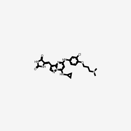 CN(C)CCCOc1ccc(Nc2cc(NC3CC3)n3ncc(C=C4NC(=O)NC4=O)c3n2)cc1Cl